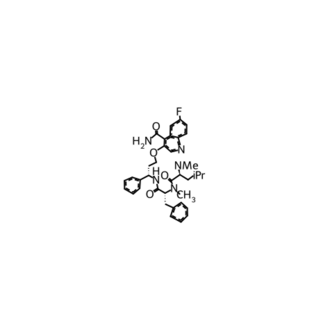 CN[C@@H](CC(C)C)C(=O)N(C)[C@H](Cc1ccccc1)C(=O)N[C@@H](CCOc1cnc2ccc(F)cc2c1C(N)=O)c1ccccc1